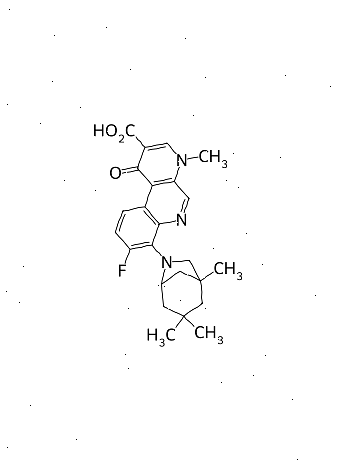 Cn1cc(C(=O)O)c(=O)c2c3ccc(F)c(N4CC5(C)CC4CC(C)(C)C5)c3ncc21